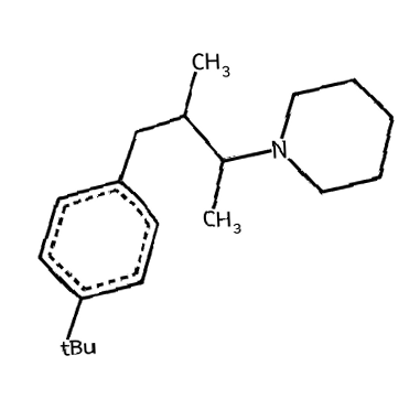 CC(Cc1ccc(C(C)(C)C)cc1)C(C)N1CCCCC1